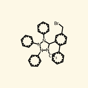 CN1C(c2cc(CBr)ccc2-c2ccccc2)N(c2ccccc2)N(c2ccccc2)N1c1ccccc1